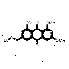 CCNCc1cc(OC)c2c(c1)C(=O)c1cc(OC)cc(OC)c1C2=O